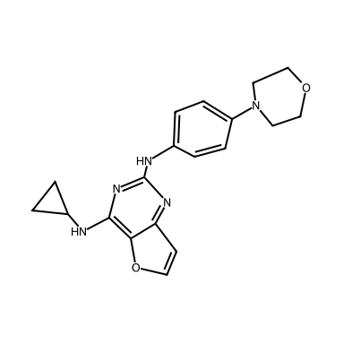 c1cc2nc(Nc3ccc(N4CCOCC4)cc3)nc(NC3CC3)c2o1